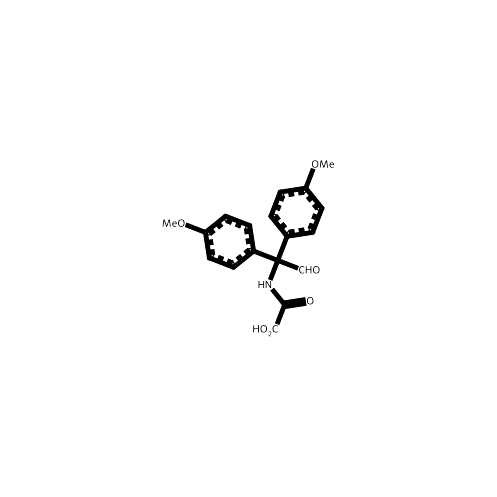 COc1ccc(C(C=O)(NC(=O)C(=O)O)c2ccc(OC)cc2)cc1